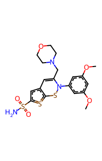 COc1cc(OC)cc(N2Sc3sc(S(N)(=O)=O)cc3C=C2CN2CCOCC2)c1